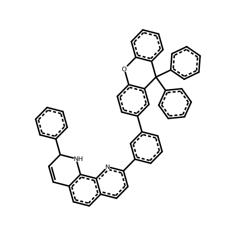 C1=CC(c2ccccc2)Nc2c1ccc1ccc(-c3cccc(-c4ccc5c(c4)C(c4ccccc4)(c4ccccc4)c4ccccc4O5)c3)nc21